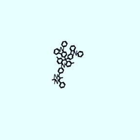 Cc1ccc2c(c1)C(c1ccc3c(c1)c1ccccc1n3-c1ccccc1)(c1ccc3c(c1)c1ccccc1n3-c1ccccc1)c1cc(C)ccc1N2c1ccc(-c2nc(C)nc(-c3ccccc3)c2C)cc1